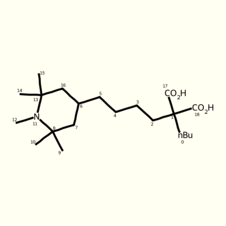 CCCCC(CCCCC1CC(C)(C)N(C)C(C)(C)C1)(C(=O)O)C(=O)O